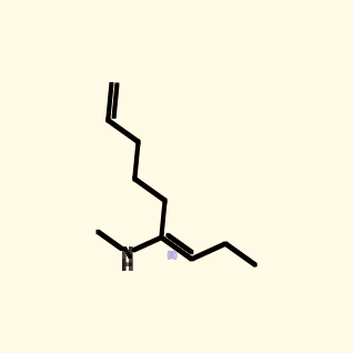 C=CCCC/C(=C\CC)NC